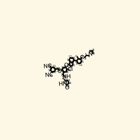 Cc1c(OCCCN2CCC2)cccc1-c1cccc2c1CC[C@@H]2Oc1cc(OCc2cc(C#N)cc(C#N)c2)c(CNC[C@H]2CCC(=O)N2)cc1Cl